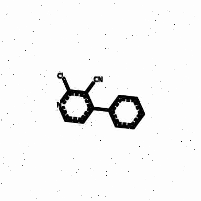 N#Cc1c(-c2ccccc2)ccnc1Cl